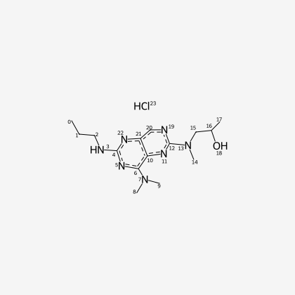 CCCNc1nc(N(C)C)c2nc(N(C)CC(C)O)ncc2n1.Cl